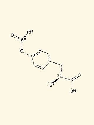 N[C@@H](Cc1ccc(O[PH](=O)O)cc1)C(=O)O